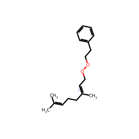 CC(C)=CCC/C(C)=C/COOCCc1ccccc1